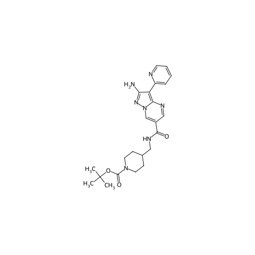 CC(C)(C)OC(=O)N1CCC(CNC(=O)c2cnc3c(-c4ccccn4)c(N)nn3c2)CC1